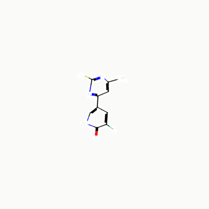 Cc1cc(-c2c[nH]c(=O)c(F)c2)nc(S)n1